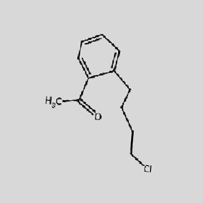 CC(=O)c1ccccc1CCCCCl